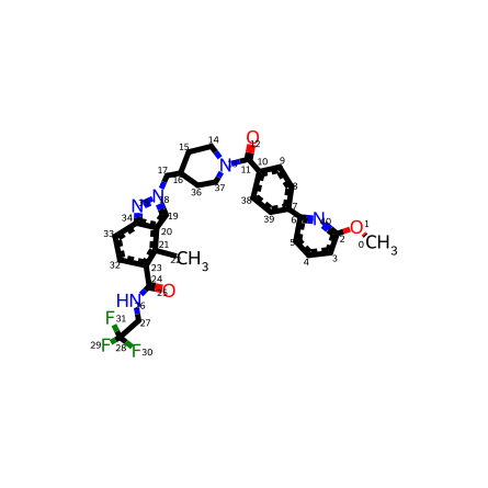 COc1cccc(-c2ccc(C(=O)N3CCC(Cn4cc5c(C)c(C(=O)NCC(F)(F)F)ccc5n4)CC3)cc2)n1